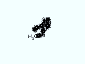 CN1CCN(C(=O)c2ccc(Nc3nc(CNC(=O)[C@@H]4CCCN4S(=O)(=O)c4ccc(F)cc4)cc(-c4ccc5c(c4)OCO5)n3)cc2)CC1